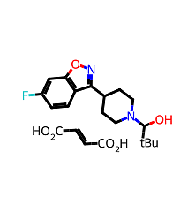 CC(C)(C)C(O)N1CCC(c2noc3cc(F)ccc23)CC1.O=C(O)/C=C/C(=O)O